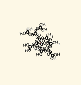 Cc1cc(OC(=O)c2cc(OC(=O)c3cc(O)cc(O)c3)cc(OC(=O)c3cc(O)cc(O)c3)c2)cc(OC(=O)c2cc(C)cc(C(=O)Oc3cc(OC(=O)c4cc(OCOc5cc(O)cc(O)c5)cc(OCOc5cc(O)cc(O)c5)c4)cc(OC(=O)c4cc(OC(=O)c5cc(O)cc(O)c5)cc(OC(=O)c5cc(O)cc(O)c5)c4)c3)c2)c1